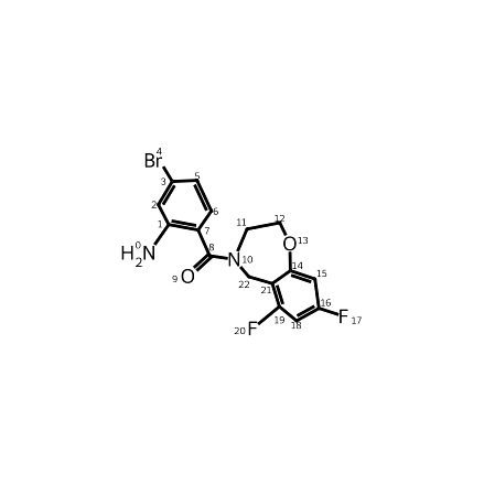 Nc1cc(Br)ccc1C(=O)N1CCOc2cc(F)cc(F)c2C1